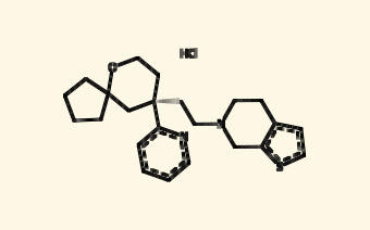 Cl.c1ccc([C@]2(CCN3CCc4ccsc4C3)CCOC3(CCCC3)C2)nc1